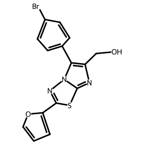 OCc1nc2sc(-c3ccco3)nn2c1-c1ccc(Br)cc1